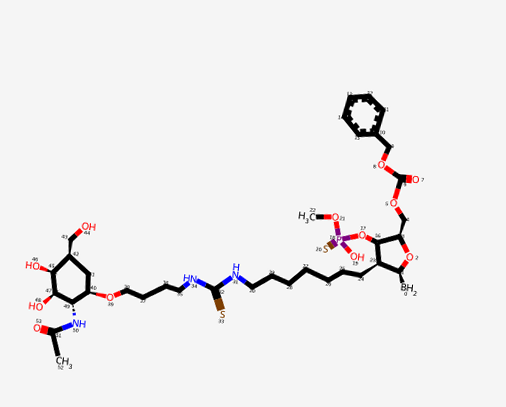 B[C@@H]1O[C@H](COC(=O)OCc2ccccc2)C(OP(O)(=S)OC)[C@@H]1CCCCCCCNC(=S)NCCCCO[C@@H]1C[C@H](CO)[C@H](O)[C@H](O)[C@H]1NC(C)=O